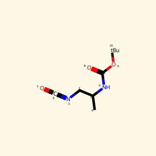 CC(CN=C=O)NC(=O)OC(C)(C)C